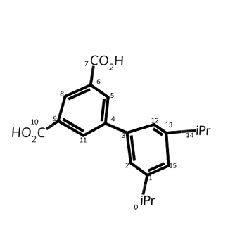 CC(C)c1cc(-c2cc(C(=O)O)cc(C(=O)O)c2)cc(C(C)C)c1